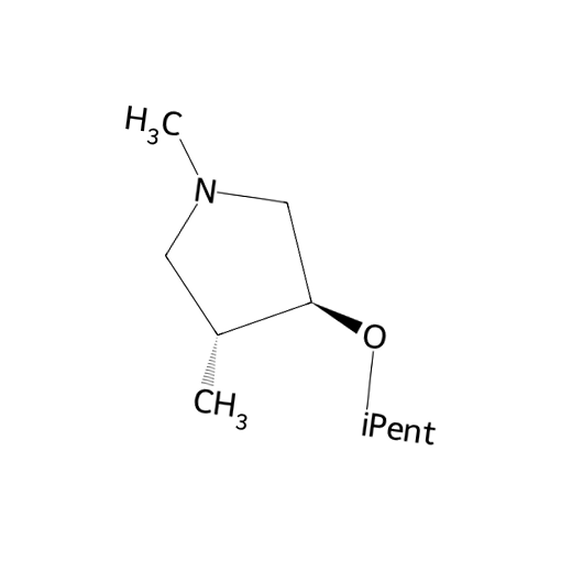 CCCC(C)O[C@@H]1CN(C)C[C@H]1C